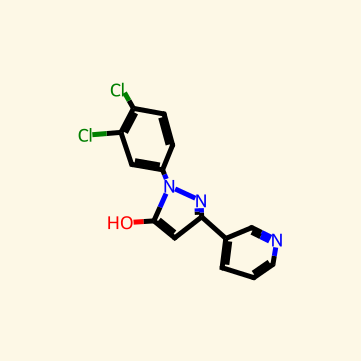 Oc1cc(-c2cccnc2)nn1-c1ccc(Cl)c(Cl)c1